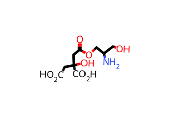 NC(CO)COC(=O)CC(O)(CC(=O)O)C(=O)O